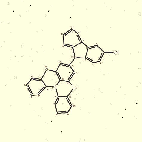 N#Cc1ccc2c(c1)c1ccccc1n2-c1cc2c3c(c1)Oc1ccccc1B3c1ccccc1O2